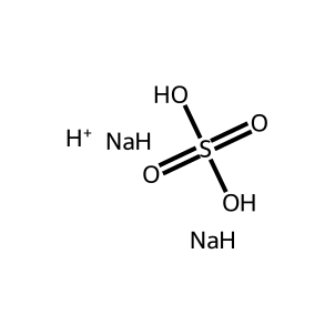 O=S(=O)(O)O.[H+].[NaH].[NaH]